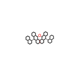 c1ccc2c(-c3c4ccccc4c(Oc4c5ccccc5c(-c5cccc6ccccc56)c5ccccc45)c4ccccc34)cccc2c1